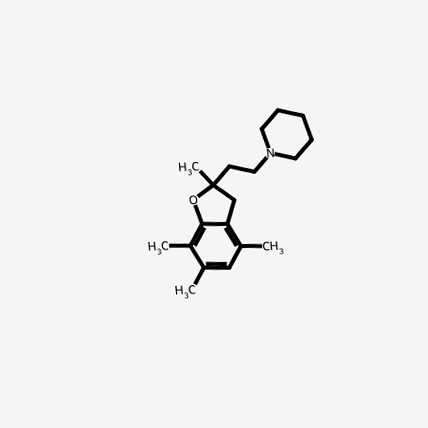 Cc1cc(C)c2c(c1C)OC(C)(CCN1CCCCC1)C2